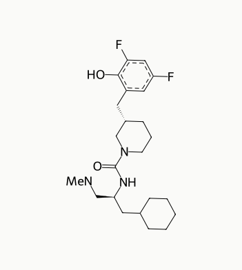 CNC[C@H](CC1CCCCC1)NC(=O)N1CCC[C@@H](Cc2cc(F)cc(F)c2O)C1